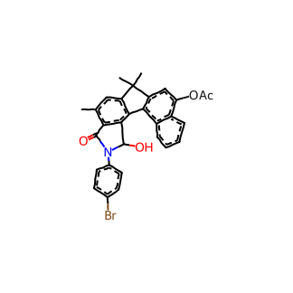 CC(=O)Oc1cc2c(c3ccccc13)-c1c(cc(C)c3c1C(O)N(c1ccc(Br)cc1)C3=O)C2(C)C